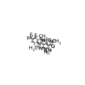 Cc1nc(N[C@H](C)c2cccc(C(F)F)c2F)c2cc(C(=O)N(C)C)c3ncnn3c2n1